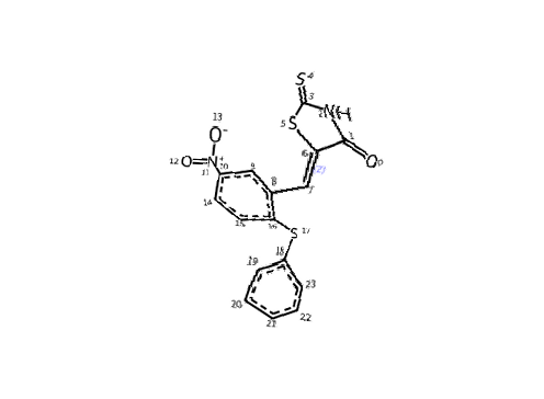 O=C1NC(=S)S/C1=C\c1cc([N+](=O)[O-])ccc1Sc1ccccc1